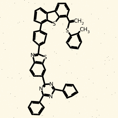 C=C(Sc1ccccc1C)c1cccc2c1sc1c(-c3ccc(-c4nc5ccc(-c6nc(-c7ccccc7)nc(-c7ccccc7)n6)cc5s4)cc3)cccc12